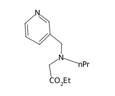 CCCN(CC(=O)OCC)Cc1cccnc1